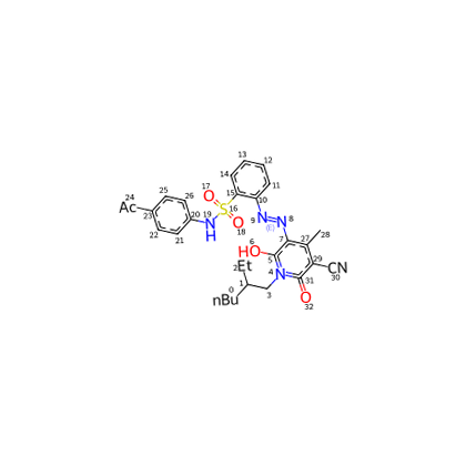 CCCCC(CC)Cn1c(O)c(/N=N/c2ccccc2S(=O)(=O)Nc2ccc(C(C)=O)cc2)c(C)c(C#N)c1=O